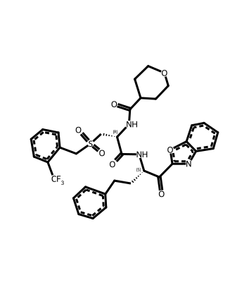 O=C(N[C@@H](CS(=O)(=O)Cc1ccccc1C(F)(F)F)C(=O)N[C@@H](CCc1ccccc1)C(=O)c1nc2ccccc2o1)C1CCOCC1